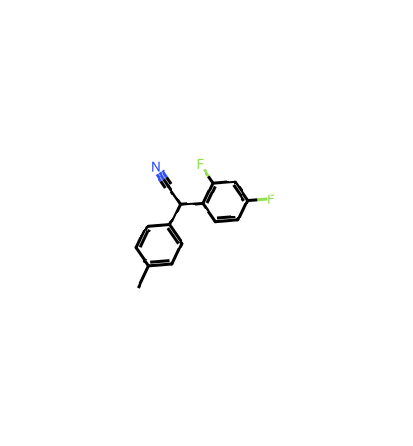 Cc1ccc(C(C#N)c2ccc(F)cc2F)cc1